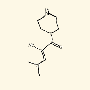 CN(C)/C=C(\C#N)C(=O)N1CCNCC1